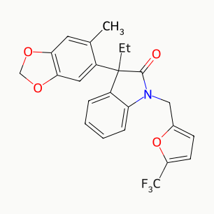 CCC1(c2cc3c(cc2C)OCO3)C(=O)N(Cc2ccc(C(F)(F)F)o2)c2ccccc21